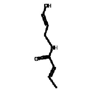 CC=CC(=O)NCC=CO